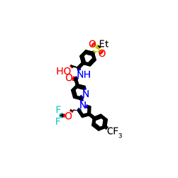 CCS(=O)(=O)c1ccc([C@H](CO)NC(=O)c2ccc(N3CC(c4ccc(C(F)(F)F)cc4)C[C@@H]3COC(F)F)nc2)cc1